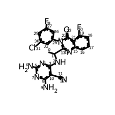 CC(Nc1nc(N)nc(N)c1C#N)c1nc2cccc(F)c2c(=O)n1-c1cc(F)cc(Cl)c1